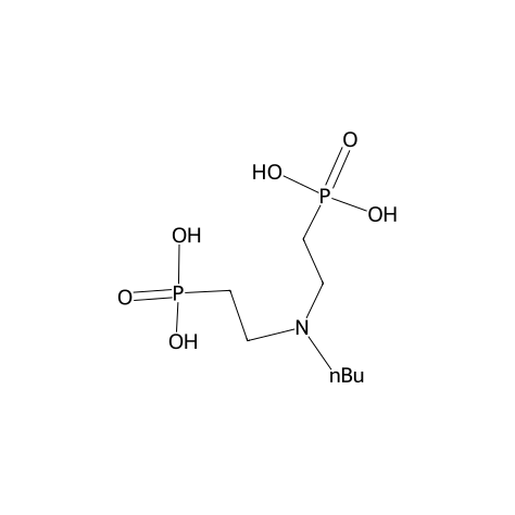 CCCCN(CCP(=O)(O)O)CCP(=O)(O)O